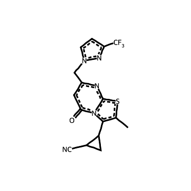 Cc1sc2nc(Cn3ccc(C(F)(F)F)n3)cc(=O)n2c1C1CC1C#N